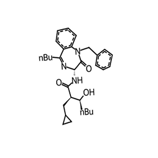 CCCCC1=N[C@@H](NC(=O)[C@H](CC2CC2)[C@@H](O)CCCC)C(=O)N(Cc2ccccc2)c2ccccc21